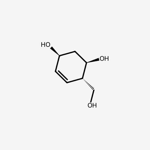 OC[C@@H]1C=C[C@@H](O)C[C@H]1O